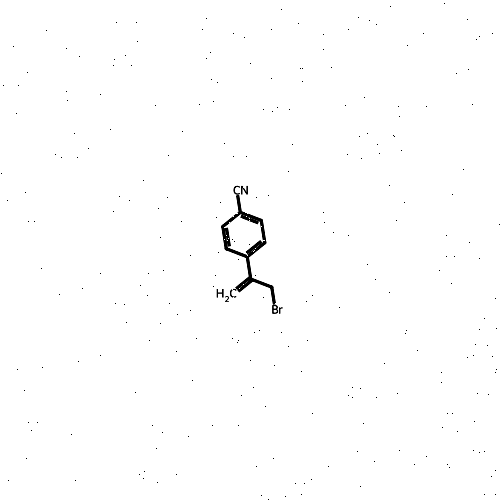 C=C(CBr)c1ccc(C#N)cc1